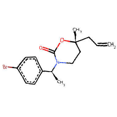 C=CC[C@]1(C)CCN([C@@H](C)c2ccc(Br)cc2)C(=O)O1